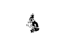 C[C@@H]1[C@@H](Nc2ncc(C(F)(F)F)cn2)CCCN1C(=O)c1ccccc1-n1nccn1